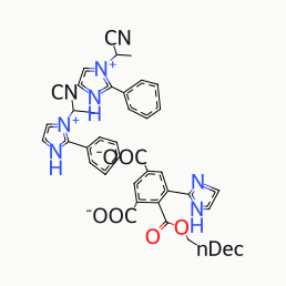 CC(C#N)[n+]1cc[nH]c1-c1ccccc1.CC(C#N)[n+]1cc[nH]c1-c1ccccc1.CCCCCCCCCCCOC(=O)c1c(C(=O)[O-])cc(C(=O)[O-])cc1-c1ncc[nH]1